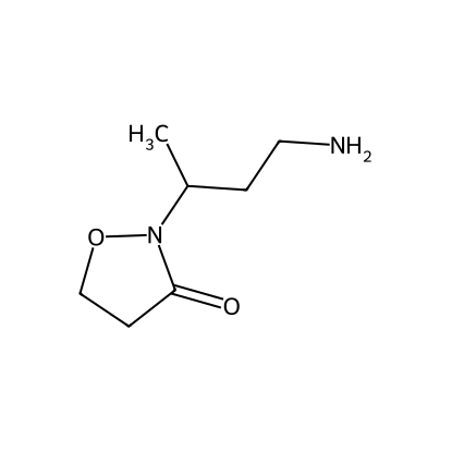 CC(CCN)N1OCCC1=O